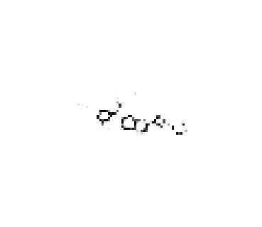 CNCCN(c1cc(OC)cc(OC)c1)c1ccc2ncc(-c3cnn(C4CCCCO4)c3)nc2c1